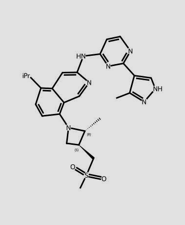 Cc1n[nH]cc1-c1nccc(Nc2cc3c(C(C)C)ccc(N4C[C@H](CS(C)(=O)=O)[C@H]4C)c3cn2)n1